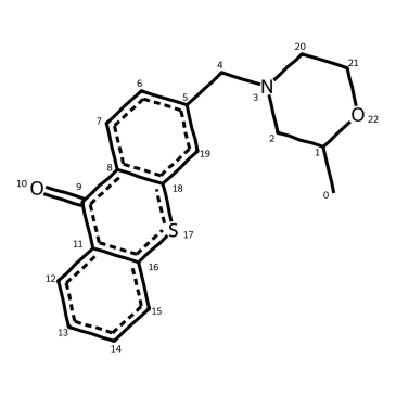 CC1CN(Cc2ccc3c(=O)c4ccccc4sc3c2)CCO1